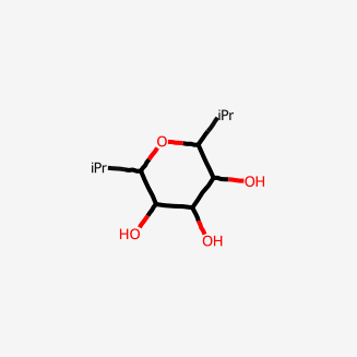 CC(C)C1OC(C(C)C)C(O)C(O)C1O